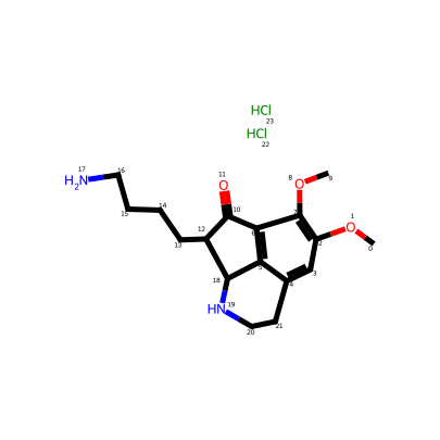 COc1cc2c3c(c1OC)C(=O)C(CCCCN)C3NCC2.Cl.Cl